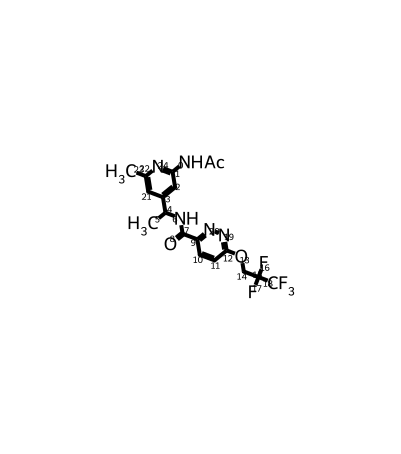 CC(=O)Nc1cc(C(C)NC(=O)c2ccc(OCC(F)(F)C(F)(F)F)nn2)cc(C)n1